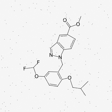 COC(=O)c1ccc2c(cnn2Cc2cc(OC(F)F)ccc2OCC(C)C)c1